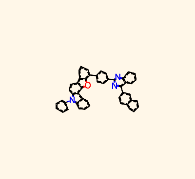 c1ccc(-n2c3ccccc3c3c4oc5c(-c6ccc(-c7nc(-c8ccc9ccccc9c8)c8ccccc8n7)cc6)cccc5c4ccc32)cc1